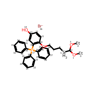 CCOC(OCC)[SiH2]CCCOc1ccc(O)cc1[P+](c1ccccc1)(c1ccccc1)c1ccccc1.[Br-]